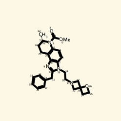 COC(=O)N1c2ccc3c(nc(Cc4ccccc4)n3CCN3CC4(CCO4)C3)c2CC[C@@H]1C